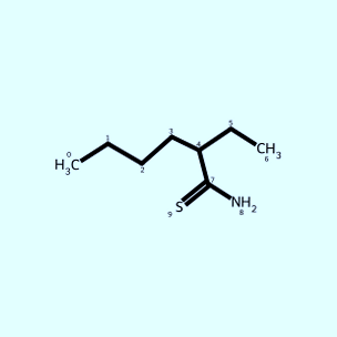 CCCCC(CC)C(N)=S